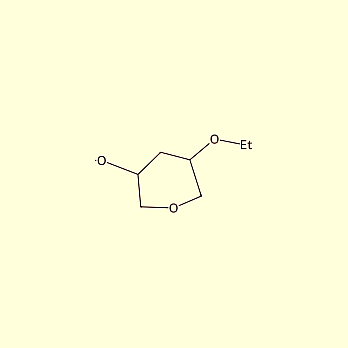 [CH2]COC1COCC([O])C1